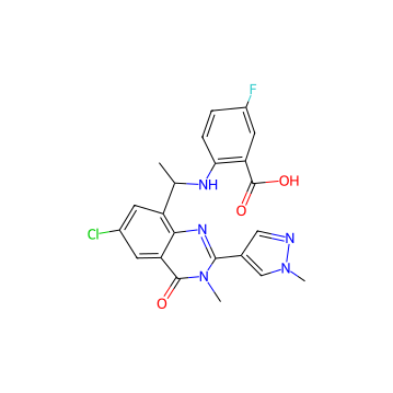 CC(Nc1ccc(F)cc1C(=O)O)c1cc(Cl)cc2c(=O)n(C)c(-c3cnn(C)c3)nc12